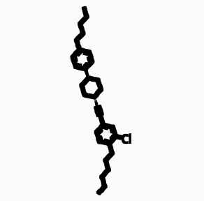 CCCCCCc1ccc(C#C[C@H]2CC[C@H](c3ccc(CCCCC)cc3)CC2)cc1Cl